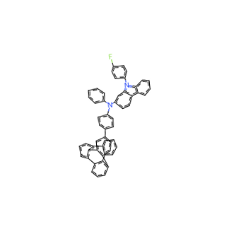 Fc1ccc(-n2c3ccccc3c3ccc(N(c4ccccc4)c4ccc(-c5ccc6c(c5)-c5c7cccc5-c5cccc-6c5-c5ccccc5-7)cc4)cc32)cc1